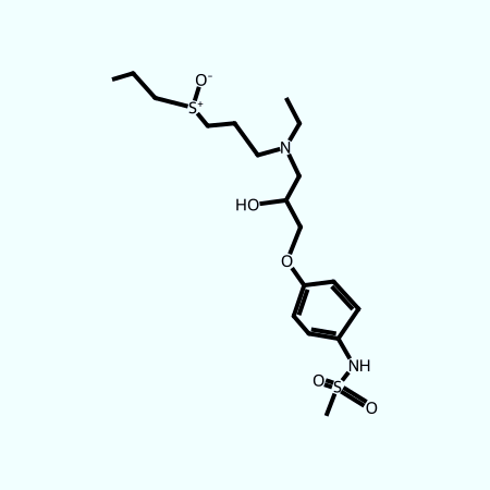 CCC[S+]([O-])CCCN(CC)CC(O)COc1ccc(NS(C)(=O)=O)cc1